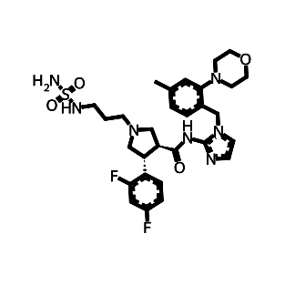 Cc1ccc(Cn2ccnc2NC(=O)[C@@H]2CN(CCCNS(N)(=O)=O)C[C@H]2c2ccc(F)cc2F)c(N2CCOCC2)c1